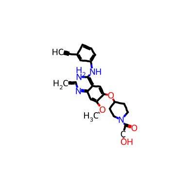 C#Cc1cccc(N/C(N)=C2\C=C(OC3CCN(C(=O)CO)CC3)C(OC)=C\C2=N\C=C)c1